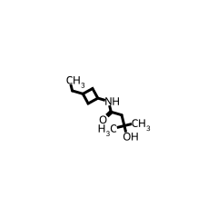 CCC1CC(NC(=O)CC(C)(C)O)C1